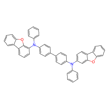 c1ccc(N(c2ccc(-c3ccc(N(c4ccccc4)c4cccc5c4oc4ccccc45)cc3)cc2)c2ccc3c(c2)oc2ccccc23)cc1